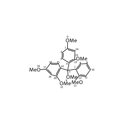 COc1ccc(C(OC)(c2ccccc2OC)c2ccc(OC)cc2OC)c(OC)c1